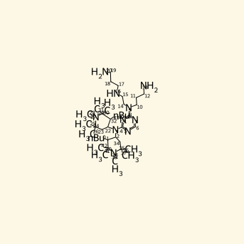 CCCCC1C(N(c2ncnc(N(CCCN)CCNCCCN)n2)C2CC(C)(C)N(C)C(C)(C)C2CCCC)CC(C)(C)N(C)C1(C)C